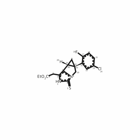 CCOC(=O)Cc1[nH]c(=S)n2c1[C@@H]1C[C@]1(c1cc(Cl)ccc1F)C2